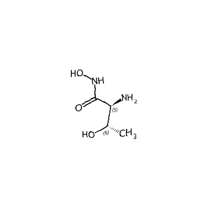 C[C@H](O)[C@H](N)C(=O)NO